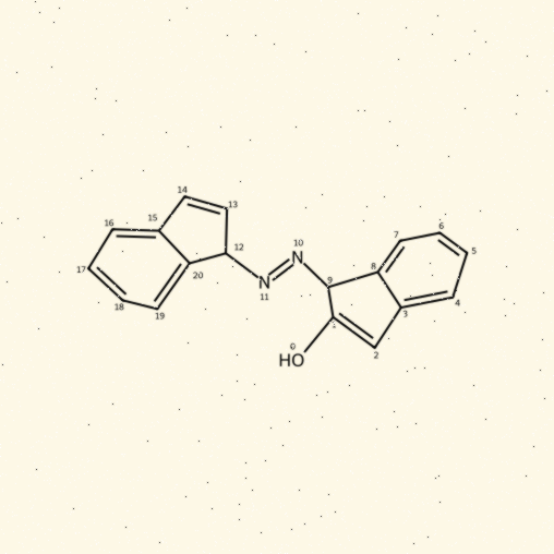 OC1=Cc2ccccc2C1N=NC1C=Cc2ccccc21